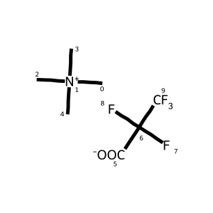 C[N+](C)(C)C.O=C([O-])C(F)(F)C(F)(F)F